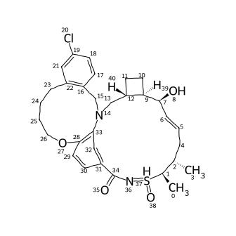 C[C@@H]1[C@@H](C)C/C=C/[C@H](O)[C@@H]2CC[C@H]2CN2Cc3ccc(Cl)cc3CCCCOc3ccc(cc32)C(=O)/N=[SH]\1=O